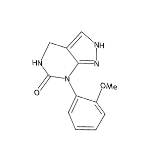 COc1ccccc1N1C(=O)NCc2c[nH]nc21